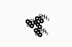 CC1(C)c2ccccc2-c2c(-c3c4cccc(-c5cccc6c5C(C)(C)c5ccccc5O6)c4cc4c(-c5cccc6c5C(C)(C)c5ccccc5O6)cccc34)cccc21